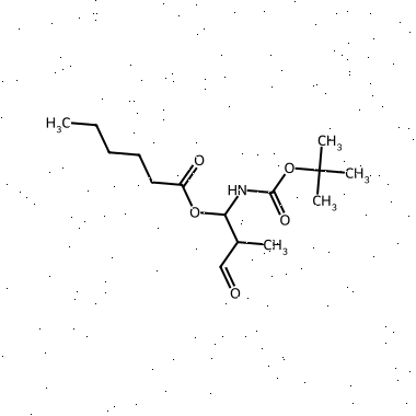 CCCCCC(=O)OC(NC(=O)OC(C)(C)C)C(C)C=O